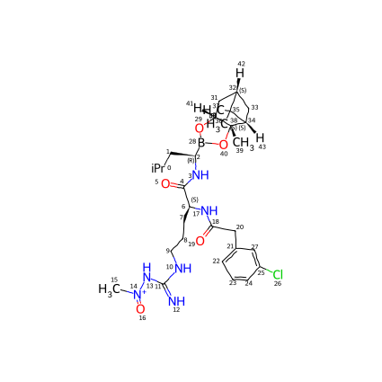 CC(C)C[C@H](NC(=O)[C@H](CCCNC(=N)N[N+](C)=O)NC(=O)Cc1cccc(Cl)c1)B1O[C@@H]2C[C@@H]3C[C@@H](C3(C)C)[C@]2(C)O1